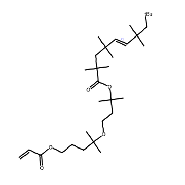 C=CC(=O)OCCCC(C)(C)OCCC(C)(C)OC(=O)C(C)(C)CC(C)(C)/C=C/C(C)(C)CC(C)(C)C